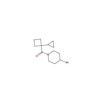 CC(C)C1CCN(C(=O)C2(C3CC3)CCC2)CC1